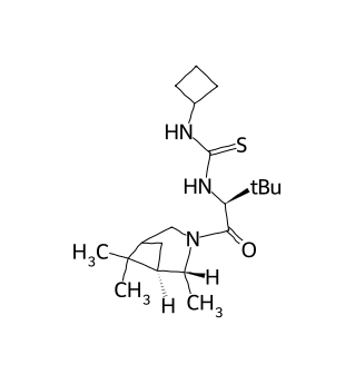 C[C@@H]1[C@@H]2CC(CN1C(=O)[C@@H](NC(=S)NC1CCC1)C(C)(C)C)C2(C)C